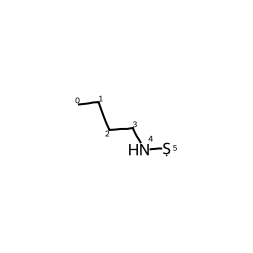 CCCCN[S]